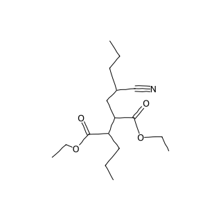 CCCC(C#N)CC(C(=O)OCC)C(CCC)C(=O)OCC